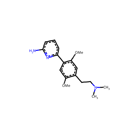 COc1cc(-c2cccc(N)n2)c(OC)cc1CCN(C)C